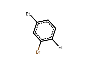 CCc1[c]cc(CC)c(Br)c1